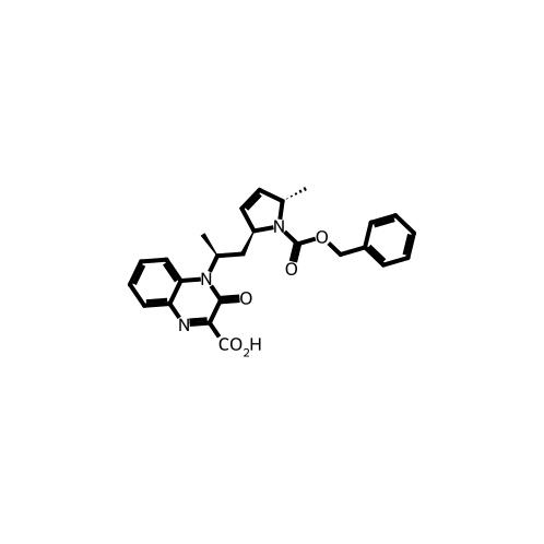 C[C@H]1C=C[C@H](C[C@H](C)n2c(=O)c(C(=O)O)nc3ccccc32)N1C(=O)OCc1ccccc1